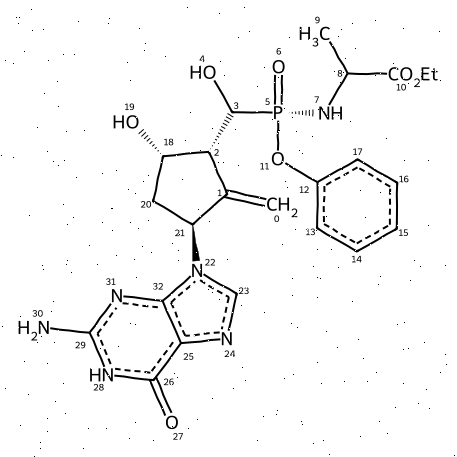 C=C1[C@@H](C(O)[P@](=O)(NC(C)C(=O)OCC)Oc2ccccc2)[C@@H](O)C[C@@H]1n1cnc2c(=O)[nH]c(N)nc21